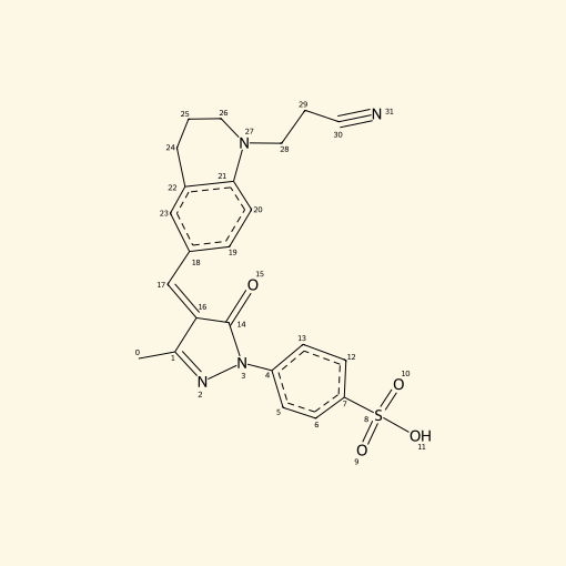 CC1=NN(c2ccc(S(=O)(=O)O)cc2)C(=O)/C1=C\c1ccc2c(c1)CCCN2CCC#N